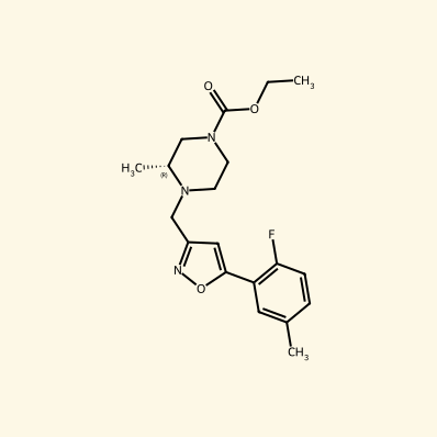 CCOC(=O)N1CCN(Cc2cc(-c3cc(C)ccc3F)on2)[C@H](C)C1